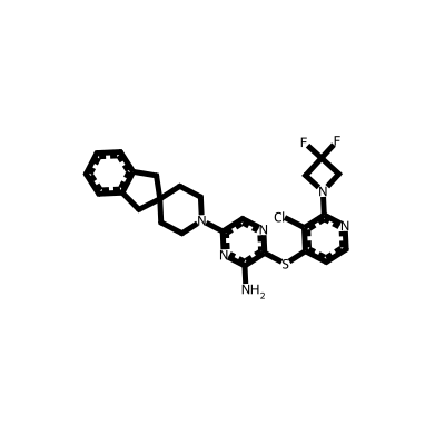 Nc1nc(N2CCC3(CC2)Cc2ccccc2C3)cnc1Sc1ccnc(N2CC(F)(F)C2)c1Cl